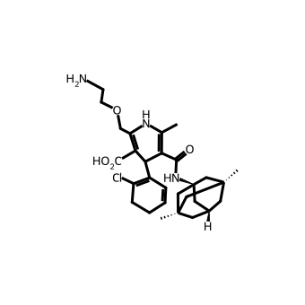 CC1=C(C(=O)N[C@@]23C[C@@H]4C[C@@](C)(C[C@@](C)(C4)C2)C3)C(C2=C(Cl)CCC=C2)C(C(=O)O)=C(COCCN)N1